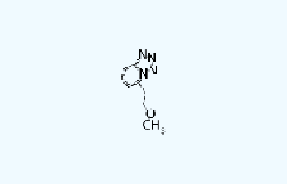 COCCc1cccc2nnnn12